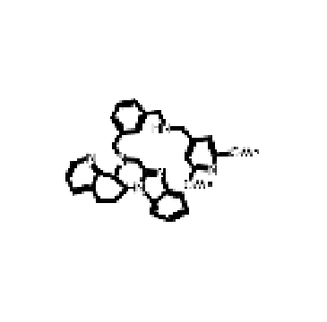 COc1cc(CNCc2cccc(CN(Cc3nc4ccccc4[nH]3)C3CCCc4cccnc43)c2)cc(OC)n1